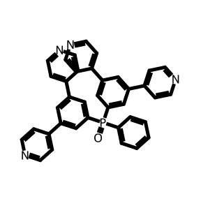 O=P(c1ccccc1)(c1cc(-c2ccncc2)cc(-c2ccncc2)c1)c1cc(-c2ccncc2)cc(-c2ccncc2)c1